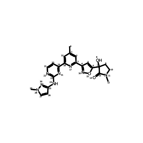 Cc1cc(-c2cc(C3(O)CCN(C)C3=O)on2)nc(-c2ccnc(Nc3ccn(C)n3)n2)c1